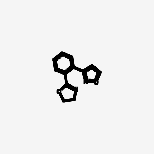 c1ccc(-c2ccon2)c(C2=NCCO2)c1